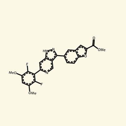 COC(=O)c1cc2cc(-c3n[nH]c4cc(-c5c(F)c(OC)cc(OC)c5F)ncc34)ccc2o1